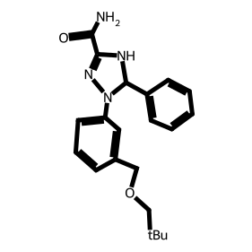 CC(C)(C)COCc1cccc(N2N=C(C(N)=O)NC2c2ccccc2)c1